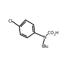 CC(C)(C)N(C(=O)O)c1ccc(Cl)cc1